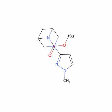 Cn1ccc(N2CC3CC(C2)N3C(=O)OC(C)(C)C)n1